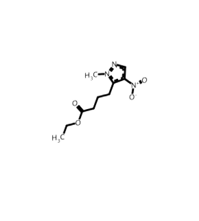 CCOC(=O)CCCc1c([N+](=O)[O-])cnn1C